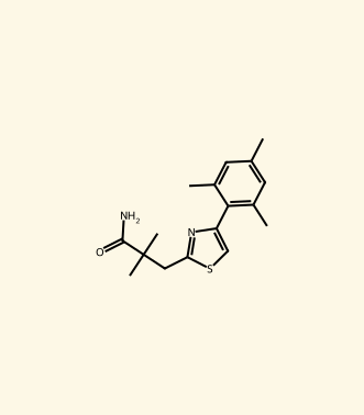 Cc1cc(C)c(-c2csc(CC(C)(C)C(N)=O)n2)c(C)c1